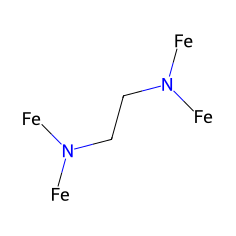 [Fe][N]([Fe])CC[N]([Fe])[Fe]